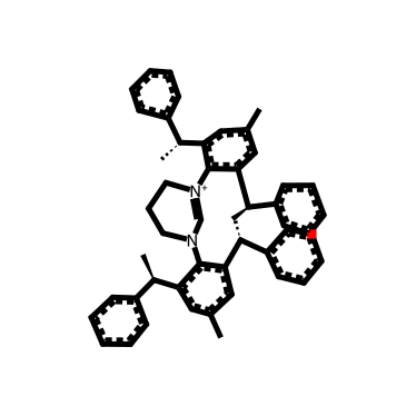 Cc1cc([C@H](C)c2ccccc2)c(N2C=[N+](c3c([C@H](C)c4ccccc4)cc(C)cc3[C@H](C)c3ccccc3)CCC2)c([C@H](C)c2ccccc2)c1